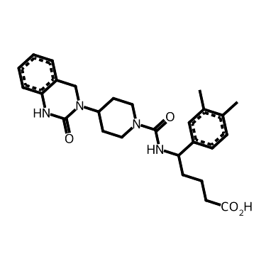 Cc1ccc(C(CCCC(=O)O)NC(=O)N2CCC(N3Cc4ccccc4NC3=O)CC2)cc1C